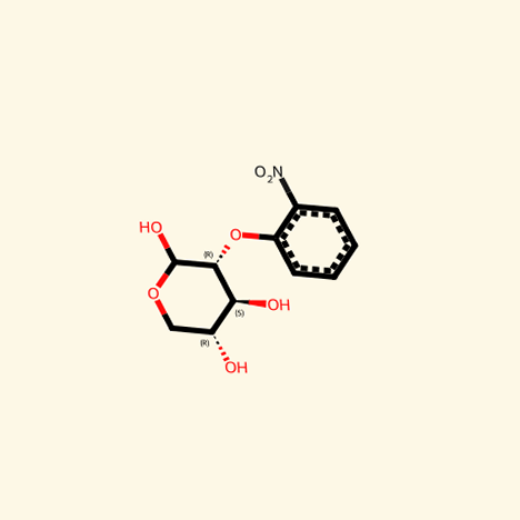 O=[N+]([O-])c1ccccc1O[C@H]1C(O)OC[C@@H](O)[C@@H]1O